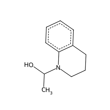 CC(O)N1CCCc2ccccc21